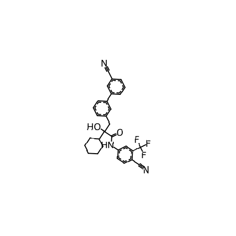 N#Cc1cccc(-c2cccc(CC(O)(C(=O)Nc3ccc(C#N)c(C(F)(F)F)c3)C3CCCCC3)c2)c1